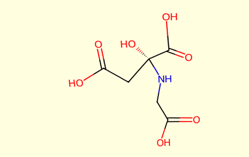 O=C(O)CN[C@@](O)(CC(=O)O)C(=O)O